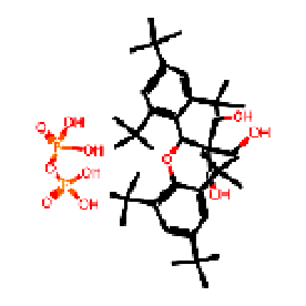 CC(C)(C)c1cc(C(C)(C)C)c(OC(c2c(C(C)(C)C)cc(C(C)(C)C)cc2C(C)(C)C)C(CO)(CO)CO)c(C(C)(C)C)c1.O=P(O)(O)OP(=O)(O)O